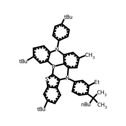 CCCCC(C)(C)c1ccc(N2c3cc(C)cc4c3B(c3cc(C(C)(C)C)ccc3N4c3ccc(C(C)(C)C)cc3)c3sc4cc(C(C)(C)C)ccc4c32)cc1CC